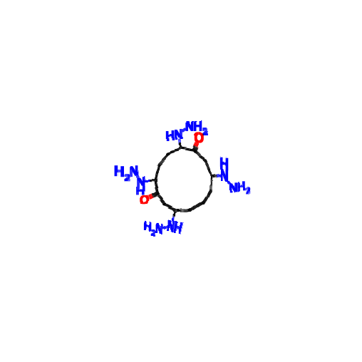 NNC1CCCC(NN)CC(=O)C(NN)CCC(NN)C(=O)C1